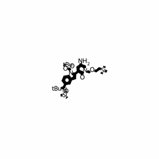 C[SiH](C)OC(c1ccc2c(c1)cc(-c1cc(N)cn(COCC[Si](C)(C)C)c1=O)n2C(=O)OC(C)(C)C)C(C)(C)C